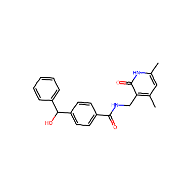 Cc1cc(C)c(CNC(=O)c2ccc(C(O)c3ccccc3)cc2)c(=O)[nH]1